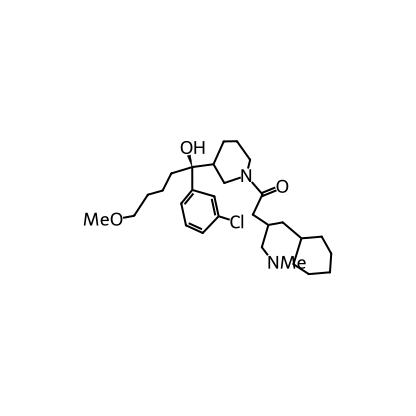 CNCC(CC(=O)N1CCCC([C@@](O)(CCCCOC)c2cccc(Cl)c2)C1)CC1CCCCC1